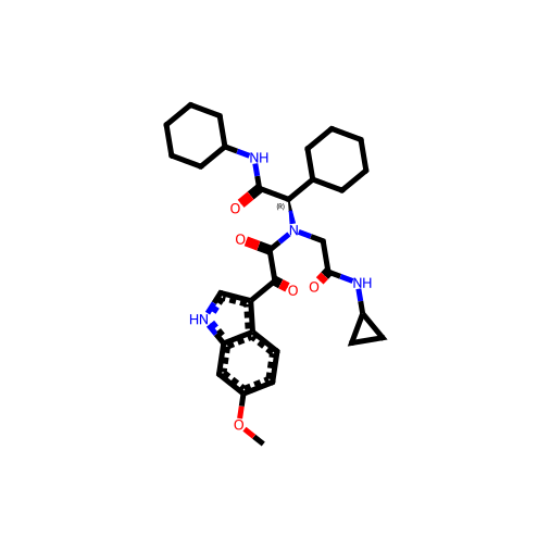 COc1ccc2c(C(=O)C(=O)N(CC(=O)NC3CC3)[C@@H](C(=O)NC3CCCCC3)C3CCCCC3)c[nH]c2c1